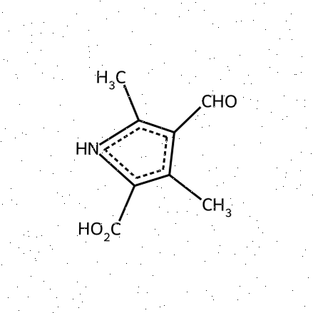 Cc1[nH]c(C(=O)O)c(C)c1C=O